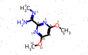 C/N=C(\N)c1nc(OC)cc(OC)n1